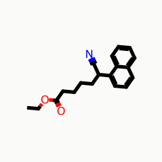 CCOC(=O)CCCCC(C#N)c1cccc2ccccc12